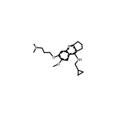 COc1cc2c(NCC3CC3)c3c(nc2cc1OCCCN(C)C)CCC3